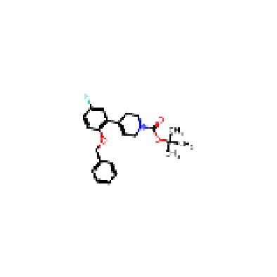 CC(C)(C)OC(=O)N1CC=C(c2cc(F)ccc2OCc2ccccc2)CC1